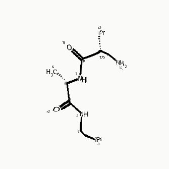 CC(C)CNC(=O)[C@H](C)NC(=O)[C@@H](N)C(C)C